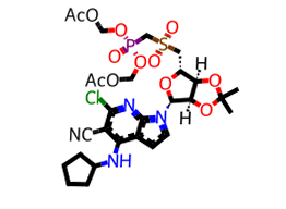 CC(=O)OCOP(=O)(CS(=O)(=O)C[C@H]1O[C@@H](n2ccc3c(NC4CCCC4)c(C#N)c(Cl)nc32)[C@@H]2OC(C)(C)O[C@@H]21)OCOC(C)=O